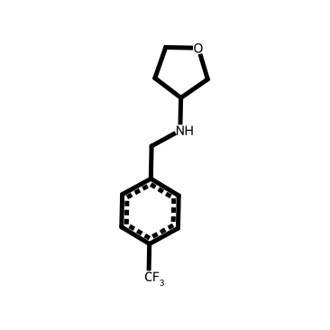 FC(F)(F)c1ccc(CNC2CCOC2)cc1